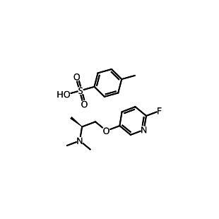 C[C@@H](COc1ccc(F)nc1)N(C)C.Cc1ccc(S(=O)(=O)O)cc1